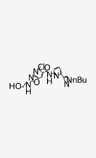 CCCCn1cc(-c2cccc(NC(=O)c3cc4oc(NCCO)nc4nc3Cl)n2)cn1